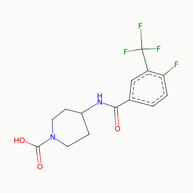 O=C(NC1CCN(C(=O)O)CC1)c1ccc(F)c(C(F)(F)F)c1